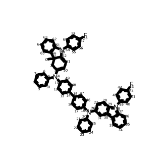 CC12CC(N(c3ccccc3)c3ccc(-c4ccc(N(c5ccccc5)c5ccc6c(c5)c5ccccc5n6-c5ccc(F)cc5)cc4)cc3)=CC=C1N(c1ccc(F)cc1)c1ccccc12